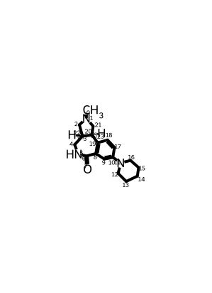 CN1C[C@H]2CNC(=O)c3cc(N4CCCCC4)ccc3[C@@H]2C1